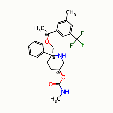 CNC(=O)O[C@H]1CC[C@@](CO[C@H](C)c2cc(C)cc(C(F)(F)F)c2)(c2ccccc2)NC1